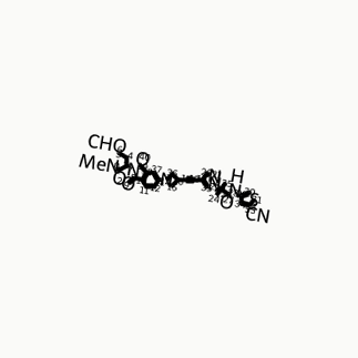 CNC(=O)C(CCC=O)N1C(=O)c2ccc(N3CC(C#Cc4cnn(C(C)(C)C(=O)Nc5csc(C#N)c5)c4)C3)cc2C1=O